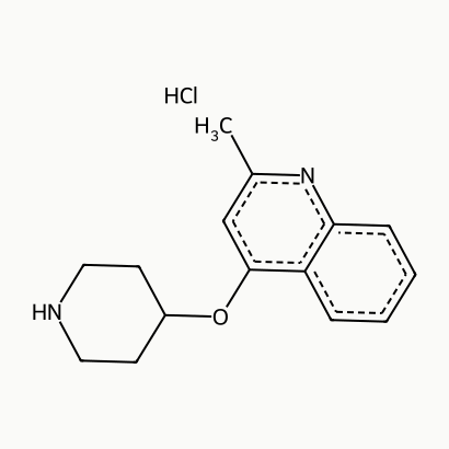 Cc1cc(OC2CCNCC2)c2ccccc2n1.Cl